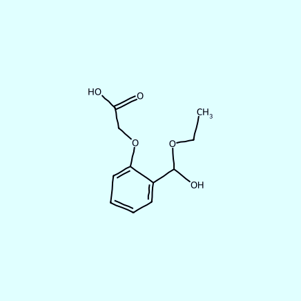 CCOC(O)c1ccccc1OCC(=O)O